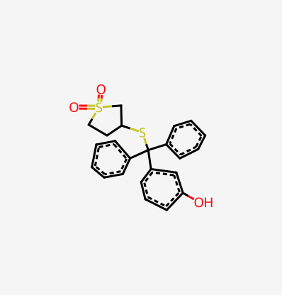 O=S1(=O)CCC(SC(c2ccccc2)(c2ccccc2)c2cccc(O)c2)C1